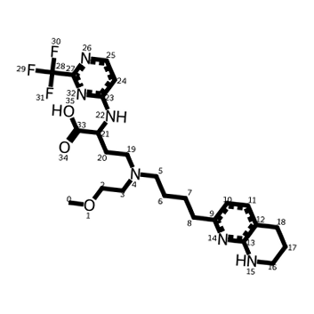 COCCN(CCCCc1ccc2c(n1)NCCC2)CCC(Nc1ccnc(C(F)(F)F)n1)C(=O)O